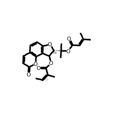 C/C=C(/C)C(=O)OC1c2c(ccc3ccc(=O)oc23)O[C@@H]1C(C)(C)OC(=O)C=C(C)C